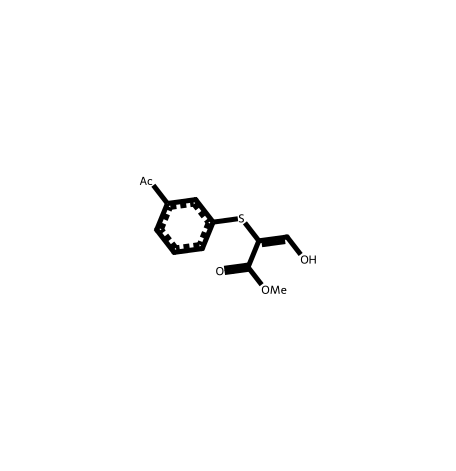 COC(=O)C(=CO)Sc1cccc(C(C)=O)c1